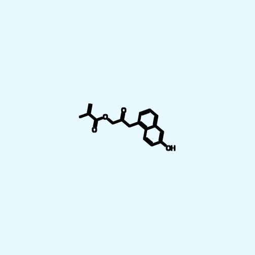 C=C(C)C(=O)OCC(=O)Cc1cccc2cc(O)ccc12